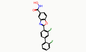 O=C(NO)c1ccc2oc(-c3ccc(-c4ccccc4F)cc3F)nc2c1